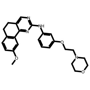 COc1ccc2c(c1)-c1nc(Nc3cccc(OCCN4CCOCC4)c3)ncc1CC2